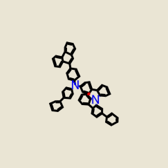 c1ccc(-c2ccc(N(c3ccc(-c4ccccc4-n4c5ccccc5c5ccc(-c6ccccc6)cc54)cc3)c3ccc(-c4cc5ccccc5c5ccccc45)cc3)cc2)cc1